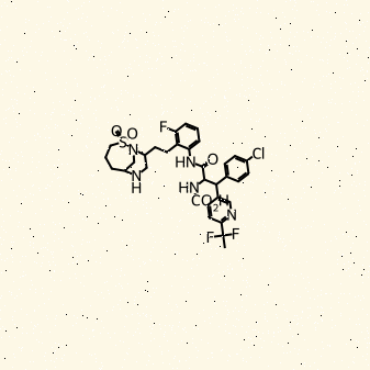 CC(F)(F)c1ccc(C(c2ccc(Cl)cc2)C(NC(=O)O)C(=O)Nc2cccc(F)c2CCC2CNC3CCCS(=O)(=O)N2C3)cn1